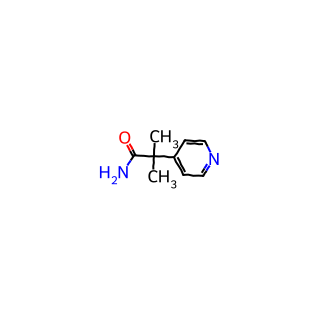 CC(C)(C(N)=O)c1ccncc1